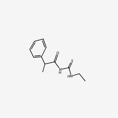 CCNC(=S)NC(=O)C(C)c1ccccc1